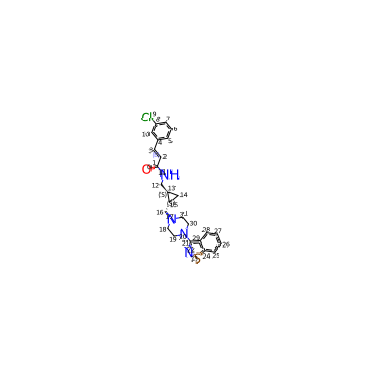 O=C(/C=C/c1cccc(Cl)c1)NC[C@H]1C[C@@H]1CN1CCN(c2nsc3ccccc23)CC1